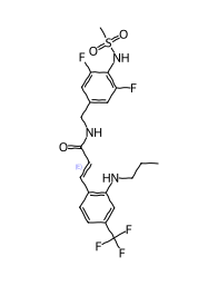 CCCNc1cc(C(F)(F)F)ccc1/C=C/C(=O)NCc1cc(F)c(NS(C)(=O)=O)c(F)c1